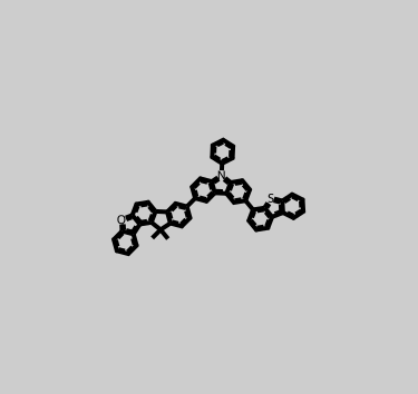 CC1(C)c2ccc(-c3ccc4c(c3)c3cc(-c5cccc6c5sc5ccccc56)ccc3n4-c3ccccc3)cc2-c2ccc3oc4ccccc4c3c21